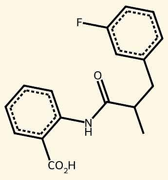 CC(Cc1cccc(F)c1)C(=O)Nc1ccccc1C(=O)O